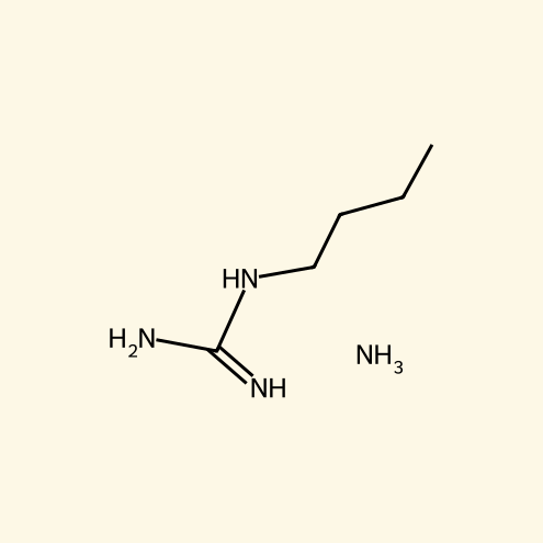 CCCCNC(=N)N.N